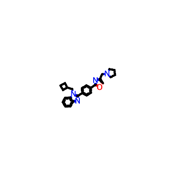 c1ccc2c(c1)nc(-c1ccc(-c3nc(CN4CCCC4)co3)cc1)n2CC1CCC1